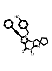 CCN1C(=O)c2nc(C#Cc3ccccc3)n(Cc3ccc(O)cc3)c2N2CC3(CCCC3)N=C12